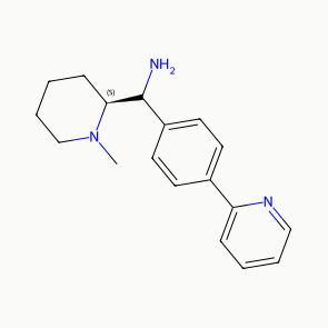 CN1CCCC[C@H]1C(N)c1ccc(-c2ccccn2)cc1